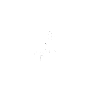 CNc1c(Cl)cc(C[C@@H](OC(=O)N2CCC(N3Cc4ccccc4NC3=O)CC2)C(=O)N2CCC(N3CCCC3)CC2)cc1C(F)(F)F